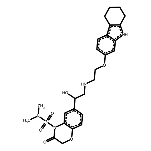 CN(C)S(=O)(=O)N1C(=O)COc2ccc(C(O)CNCCOc3ccc4c5c([nH]c4c3)CCCC5)cc21